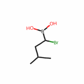 CC(C)CC(Br)B(O)O